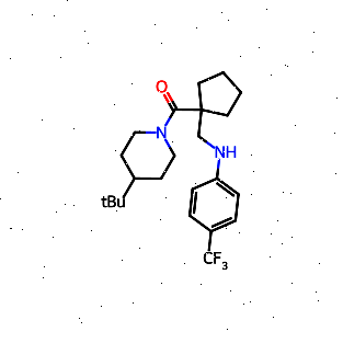 CC(C)(C)C1CCN(C(=O)C2(CNc3ccc(C(F)(F)F)cc3)CCCC2)CC1